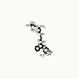 CCOCc1nc2c(NC(=O)CCNC(=O)CC(C)(C)OCCC(C)(C)O)nc3ccccc3c2n1CC(C)(C)O